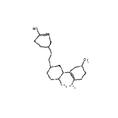 CC1=C(C2CC(CCC3CC=C(O)CC3)CCC2C)CC(C)CC1